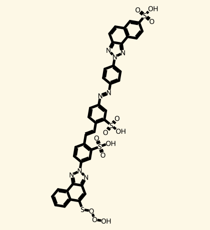 O=S(=O)(O)c1ccc2c(ccc3nn(-c4ccc(N=Nc5ccc(C=Cc6ccc(-n7nc8cc(SOOO)c9ccccc9c8n7)cc6S(=O)(=O)O)c(S(=O)(=O)O)c5)cc4)nc32)c1